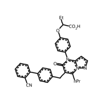 CCCc1c(Cc2ccc(-c3ccccc3C#N)cc2)c(=O)n(-c2ccc(OC(CC)C(=O)O)cc2)c2ccnn12